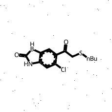 CCCCSCC(=O)c1cc2c(cc1Cl)NC(=O)B2